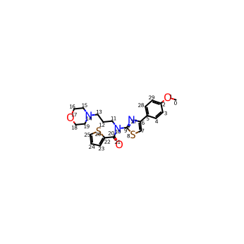 COc1ccc(-c2csc(N(CCCN3CCOCC3)C(=O)c3cccs3)n2)cc1